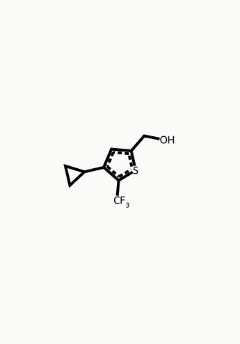 OCc1cc(C2CC2)c(C(F)(F)F)s1